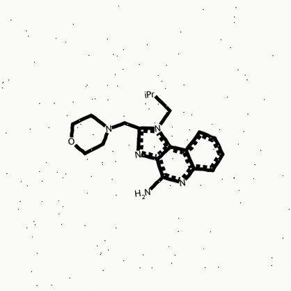 CC(C)Cn1c(CN2CCOCC2)nc2c(N)nc3ccccc3c21